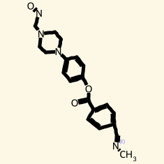 C/N=C/c1ccc(C(=O)Oc2ccc(N3CCN(CN=O)CC3)cc2)cc1